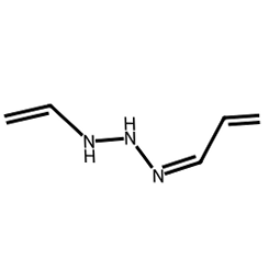 C=C/C=N\NNC=C